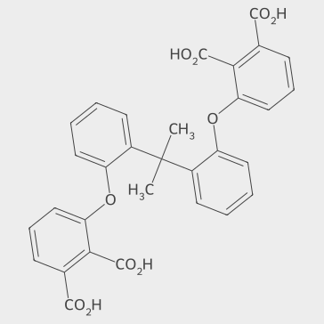 CC(C)(c1ccccc1Oc1cccc(C(=O)O)c1C(=O)O)c1ccccc1Oc1cccc(C(=O)O)c1C(=O)O